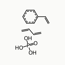 C=CC=C.C=Cc1ccccc1.O=P(O)(O)O